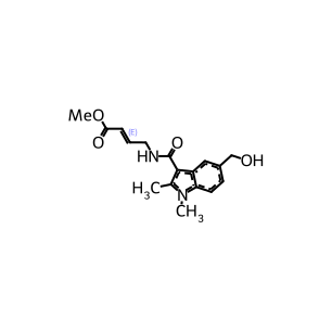 COC(=O)/C=C/CNC(=O)c1c(C)n(C)c2ccc(CO)cc12